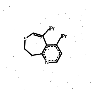 CC(C)C1=CSCCc2nccc(C(C)C)c21